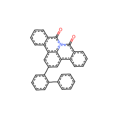 O=c1c2ccccc2c2cc(-c3ccccc3-c3ccccc3)cc3c4ccccc4c(=O)n1c23